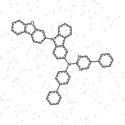 c1ccc(-c2ccc(N(c3ccc4c(c3)c3ccccc3n4-c3ccc4c(c3)oc3ccccc34)c3ncc(-c4ccccc4)cn3)cc2)cc1